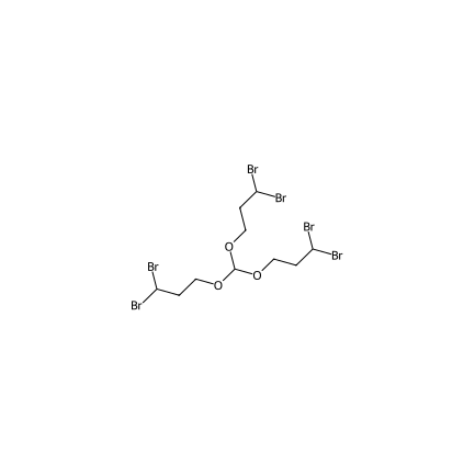 BrC(Br)CCOC(OCCC(Br)Br)OCCC(Br)Br